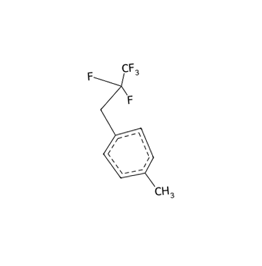 Cc1ccc(CC(F)(F)C(F)(F)F)cc1